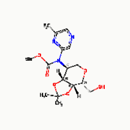 CC(C)(C)OC(=O)N(c1cncc(C(F)(F)F)n1)[C@H]1CO[C@H](CO)[C@@H]2OC(C)(C)O[C@@H]21